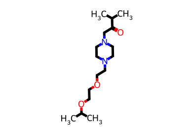 CC(C)OCCOCCN1CCN(CC(=O)C(C)C)CC1